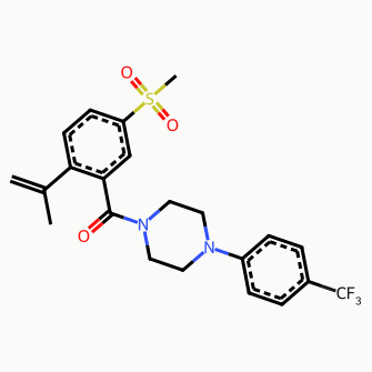 C=C(C)c1ccc(S(C)(=O)=O)cc1C(=O)N1CCN(c2ccc(C(F)(F)F)cc2)CC1